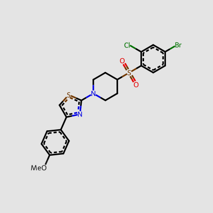 COc1ccc(-c2csc(N3CCC(S(=O)(=O)c4ccc(Br)cc4Cl)CC3)n2)cc1